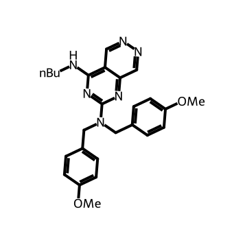 CCCCNc1nc(N(Cc2ccc(OC)cc2)Cc2ccc(OC)cc2)nc2cnncc12